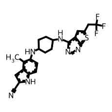 Cc1c(NC2CCC(Nc3ncnc4sc(CC(F)(F)F)cc34)CC2)ccc2[nH]c(C#N)cc12